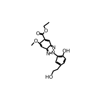 CCOC(=O)c1cc2nn(-c3cc(CCO)ccc3O)nc2cc1OC